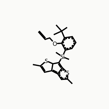 C=CCOc1c(C(C)(C)C)cccc1[Si](C)(C)C1=c2sc(C)cc2=C2C=C(C)SC21